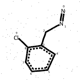 [N]=NCc1ccccc1Cl